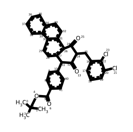 CC(C)(C)OC(=O)c1ccc(C2C(=O)C(Cc3cccc(Cl)c3Cl)C(=O)c3c2ccc2c3ccc3ccccc32)cc1